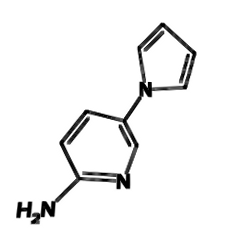 Nc1ccc(-n2cccc2)cn1